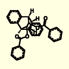 C[C@]12c3ccccc3[C@H](c3ccccc31)[C@@H](OC(=O)c1ccccc1)[C@H]2OC(=O)c1ccccc1